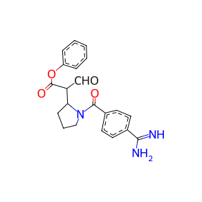 N=C(N)c1ccc(C(=O)N2CCCC2C(C=O)C(=O)Oc2ccccc2)cc1